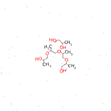 CC(O)CO.CC(O)COC(C)COC(C)COC(C)CO